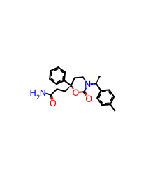 Cc1ccc([C@H](C)N2CC[C@@](CCC(N)=O)(c3ccccc3)OC2=O)cc1